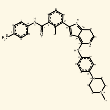 Cc1c(C(=O)Nc2ccc(C(F)(F)F)cc2)cccc1C1=CC2=C(Nc3ccc(N4CCN(C)CC4)cc3)N=CCC2=N1